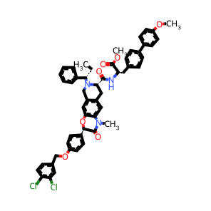 CC[C@@H](c1ccccc1)N1Cc2cc3c(cc2C[C@H]1C(=O)N[C@@H](Cc1ccc(-c2ccc(OC)cc2)cc1)C(=O)OC)N(C)C(=O)[C@H](c1ccc(OCc2ccc(Cl)c(Cl)c2)cc1)O3